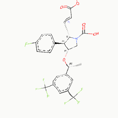 COC(=O)/C=C/[C@H]1[C@H](c2ccc(F)cc2)[C@@H](O[C@H](C)c2cc(C(F)(F)F)cc(C(F)(F)F)c2)CN1C(=O)O